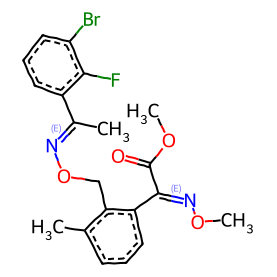 CO/N=C(/C(=O)OC)c1cccc(C)c1CO/N=C(\C)c1cccc(Br)c1F